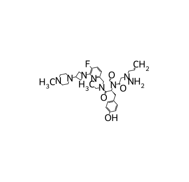 C=CCN(N)CC(=O)N(C=O)[C@@H](Cc1ccc(O)cc1)C(=O)N(CC)Cc1ccc(F)c(N2CC(N3CCN(C)CC3)C2)n1